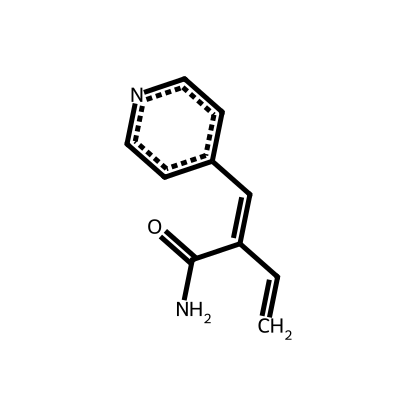 C=CC(=Cc1ccncc1)C(N)=O